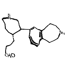 O=CCCC1CCNCC1c1ccc2c(c1)CCNCC2